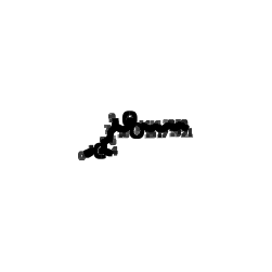 C=CCC(C)CCCC(C)CC(=O)OCCCCCC=CC